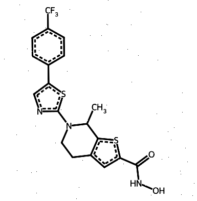 CC1c2sc(C(=O)NO)cc2CCN1c1ncc(-c2ccc(C(F)(F)F)cc2)s1